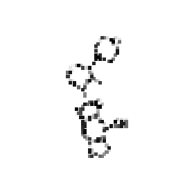 Cc1c(-c2nc3cc4c(c(C#N)c3o2)CCS4)cccc1N1CCOCC1